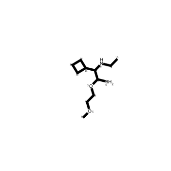 BC(OCCOC)C(NCC)C1CCC1